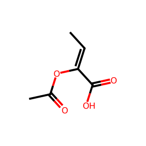 CC=C(OC(C)=O)C(=O)O